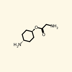 NCC(=O)O[C@H]1CC[C@H](N)CC1